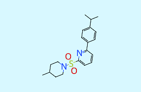 CC1CCN(S(=O)(=O)c2cccc(-c3ccc(C(C)C)cc3)n2)CC1